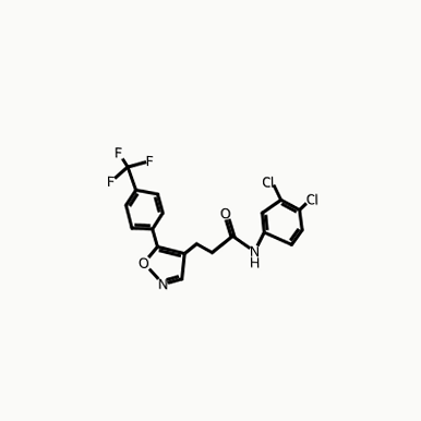 O=C(CCc1cnoc1-c1ccc(C(F)(F)F)cc1)Nc1ccc(Cl)c(Cl)c1